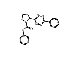 O=C(Oc1ccccc1)N1CCCC1c1nnc(-c2ccccc2)nn1